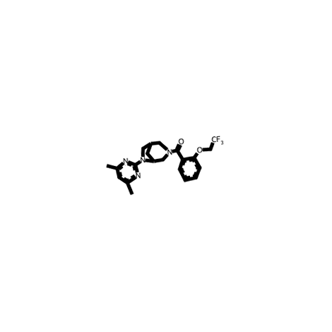 Cc1cc(C)nc(N2CC3CC2CN(C(=O)c2ccccc2OCC(F)(F)F)C3)n1